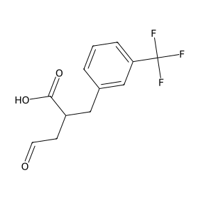 O=CCC(Cc1cccc(C(F)(F)F)c1)C(=O)O